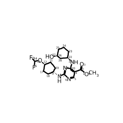 COC(=O)c1cnc(N[C@H]2CC[C@H](OC(F)F)CC2)nc1N[C@@H]1CCC[C@H](O)C1